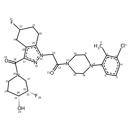 Cc1c(Cl)cccc1N1CCN(C(=O)Cn2nc(C(=O)N3CC[C@@H](O)[C@@H](F)C3)c3c2CCC(F)C3)CC1